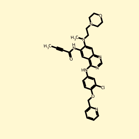 CC#CC(=O)Nc1cc2c(Nc3ccc(OCc4ccccn4)c(Cl)c3)ncnc2cc1N(C)CCN1CCOCC1